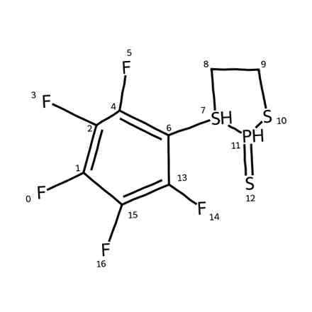 Fc1c(F)c(F)c([SH]2CCS[PH]2=S)c(F)c1F